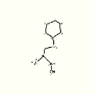 CNC(C)COC1CCCCC1